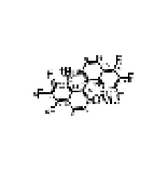 COc1ccc2c(F)c(F)c(F)c(F)c2c1-c1c(C(C)(C)C)ccc2c(F)c(F)c(F)c(F)c12